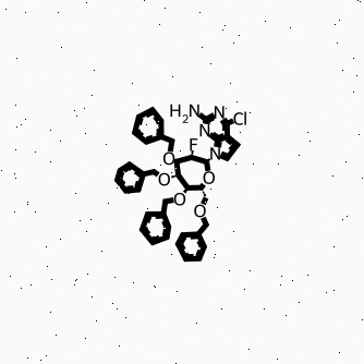 Nc1nc(Cl)c2ccn([C@@H]3O[C@H](COCc4ccccc4)[C@@H](OCc4ccccc4)[C@H](OCc4ccccc4)[C@@H](OCc4ccccc4)[C@@H]3F)c2n1